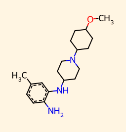 COC1CCC(N2CCC(Nc3cc(C)ccc3N)CC2)CC1